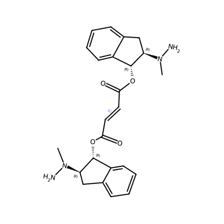 CN(N)[C@@H]1Cc2ccccc2[C@H]1OC(=O)/C=C/C(=O)O[C@@H]1c2ccccc2C[C@H]1N(C)N